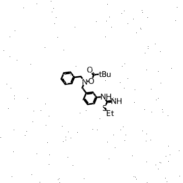 CCSC(=N)Nc1cccc(CN(Cc2ccccc2)OC(=O)C(C)(C)C)c1